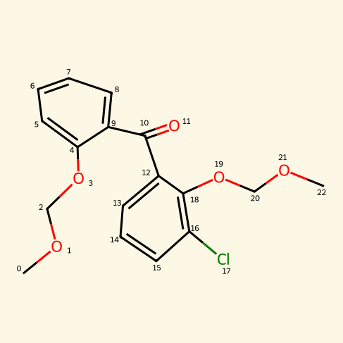 COCOc1ccccc1C(=O)c1cccc(Cl)c1OCOC